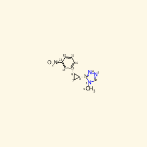 Cn1cnnc1[C@@H]1C[C@@H]1c1cccc([N+](=O)[O-])c1